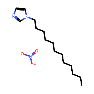 CCCCCCCCCCCCn1ccnc1.O=[N+]([O-])O